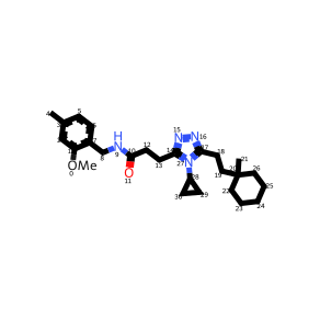 COc1cc(C)ccc1CNC(=O)CCc1nnc(CCC2(C)CCCCC2)n1C1CC1